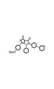 COc1ccc(-c2n[nH]c3c2C(c2ccccc2)N(c2ccc(-c4cccnc4)cc2)C3=O)cc1